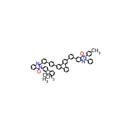 Cc1ccc(-n2c(-c3ccccc3)nc3ccc(-c4cccc(-c5ccc6c7cc(-c8ccc(-c9cccc(-c%10nc%11ccccc%11c(=O)n%10-c%10ccc%11c(c%10)C(C)(C)c%10ccccc%10-%11)c9)cc8)ccc7c7ccccc7c6c5)c4)cc3c2=O)cc1